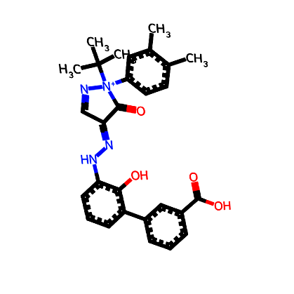 Cc1ccc([N+]2(C(C)(C)C)N=CC(=NNc3cccc(-c4cccc(C(=O)O)c4)c3O)C2=O)cc1C